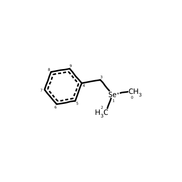 C[Se+](C)Cc1ccccc1